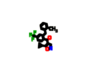 Cc1ccccc1Cc1cc(C(F)(F)F)ccc1C(=O)c1cnoc1C1CC1